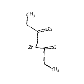 CCC(=O)CC(=O)CC.[Zr]